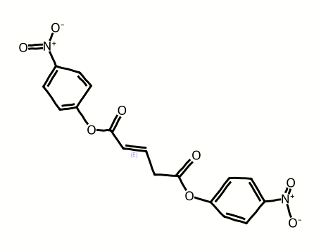 O=C(/C=C/CC(=O)Oc1ccc([N+](=O)[O-])cc1)Oc1ccc([N+](=O)[O-])cc1